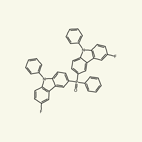 O=P(c1ccccc1)(c1ccc2c(c1)c1cc(F)ccc1n2-c1ccccc1)c1ccc2c(c1)c1cc(F)ccc1n2-c1ccccc1